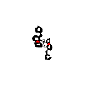 C1=C[CH]([Zr]([O]c2ccccc2Cc2ccccc2)([O]c2ccccc2Cc2ccccc2)[CH]2C=CC=C2)C=C1